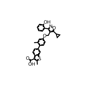 Cc1cc(OCc2c(-c3ccccc3O)noc2C2CC2)ccc1-c1ccc2c(C(=O)O)c(C)sc2c1